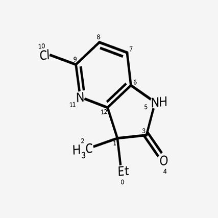 CCC1(C)C(=O)Nc2ccc(Cl)nc21